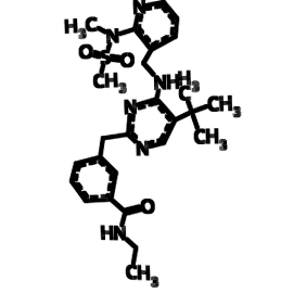 CCNC(=O)c1cccc(Cc2ncc(C(C)(C)C)c(NCc3cccnc3N(C)S(C)(=O)=O)n2)c1